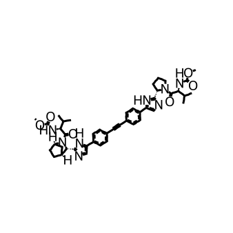 COC(=O)N[C@H](C(=O)N1CCC[C@H]1c1ncc(-c2ccc(C#Cc3ccc(-c4cnc([C@@H]5[C@H]6CC[C@H](C6)N5C(=O)[C@@H](NC(=O)OC)C(C)C)[nH]4)cc3)cc2)[nH]1)C(C)C